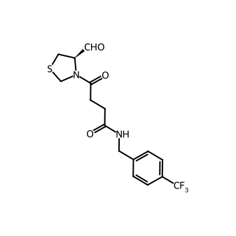 O=C[C@@H]1CSCN1C(=O)CCC(=O)NCc1ccc(C(F)(F)F)cc1